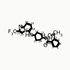 CN(C)c1ccccc1C(=O)NC1CCC(Nc2cccc3nc(C(F)(F)F)cn23)CC1